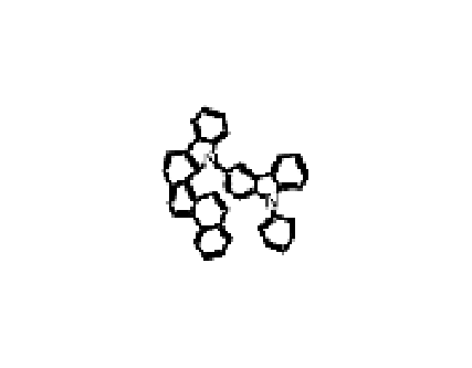 c1ccc(-n2c3ccccc3c3cc(-n4c5ccccc5c5ccc6ccc7c8ccccc8ccc7c6c54)ccc32)cc1